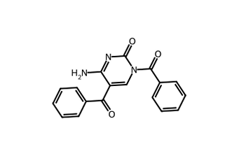 Nc1nc(=O)n(C(=O)c2ccccc2)cc1C(=O)c1ccccc1